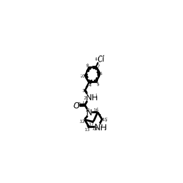 O=C(NCc1ccc(Cl)cc1)N1C2CNCC1C2